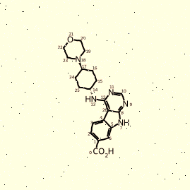 O=C(O)c1ccc2c(c1)[nH]c1ncnc(N[C@H]3CC[C@H](N4CCOCC4)CC3)c12